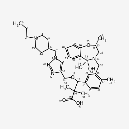 CCCN1CCC(Cn2cc(COC(c3ccc(C)c(CN4C[C@@H](C)Oc5ccccc5S4(O)O)c3)C(C)(C)C(=O)O)nn2)CC1